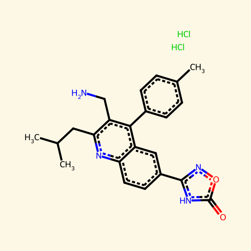 Cc1ccc(-c2c(CN)c(CC(C)C)nc3ccc(-c4noc(=O)[nH]4)cc23)cc1.Cl.Cl